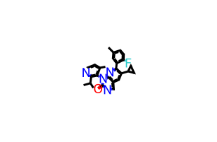 Cc1ccc(F)c(-c2nc3c(cnc(=O)n3-c3c(C)ccnc3C(C)C)cc2C2CC2)c1